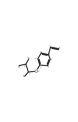 C=Cc1ccc(OC(C)C(C)C)cc1